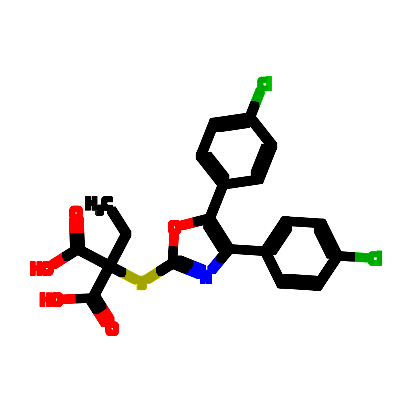 CCC(Sc1nc(-c2ccc(Cl)cc2)c(-c2ccc(Cl)cc2)o1)(C(=O)O)C(=O)O